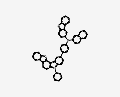 c1ccc(-n2c3ccc(-c4ccc(N(c5ccc6ccccc6c5)c5ccc6sc7ccccc7c6c5)cc4)cc3c3c4sc5ccccc5c4ccc32)cc1